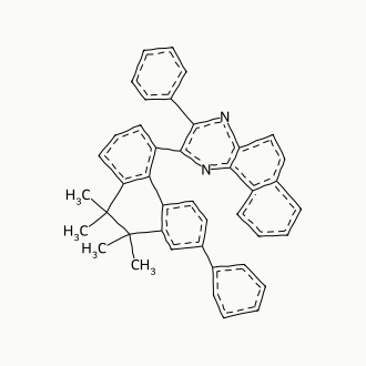 CC1(C)c2cc(-c3ccccc3)ccc2-c2c(-c3nc4c(ccc5ccccc54)nc3-c3ccccc3)cccc2C1(C)C